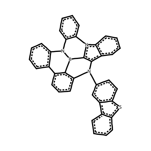 c1ccc2c(c1)-c1cccc3c1B1c4c(c5ccccc5n4-c4ccccc4N12)N3c1ccc2sc3ccccc3c2c1